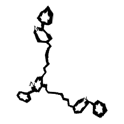 C1=CC(CCCCCc2cnc(-c3ccccc3)cc2CCCCCCc2ccc(-c3ccccc3)nc2)C=CC(c2ccccc2)=N1